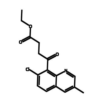 CCOC(=O)CCC(=O)c1c(Cl)ccc2cc(C)cnc12